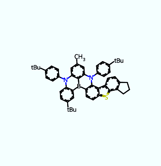 Cc1cc2c3c(c1)N(c1ccc(C(C)(C)C)cc1)c1c(ccc4sc5c6c(ccc5c14)CCC6)B3c1cc(C(C)(C)C)ccc1N2c1ccc(C(C)(C)C)cc1